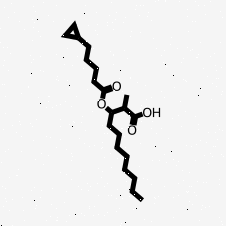 CCCCCCCCC(OC(=O)CCCCC1CC1)C(C)C(=O)O